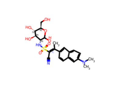 C/C(=C(/C#N)S(=O)(=O)N[C@H]1C(O)O[C@H](CO)[C@@H](O)[C@@H]1O)c1ccc2cc(N(C)C)ccc2c1